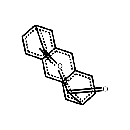 O=c1oc(=O)c2ccc3cc4cc1ccc4cc3c2